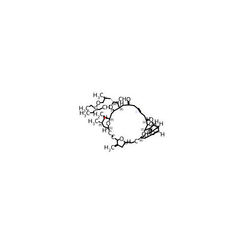 C=C1C[C@@H]2CC[C@@]34C[C@H]5O[C@@H]6[C@@H](O[C@@H](C/C=C/CC(=O)C[C@H]7C(C[C@H]8O[C@@H](CCC1O2)C[C@@H](C)C8=C)O[C@H](C[C@H](C)CO[Si](CC)(CC)CC)[C@@H]7C)C(C)[C@@H]6O3)[C@H]5O4